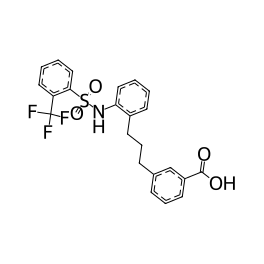 O=C(O)c1cccc(CCCc2ccccc2NS(=O)(=O)c2ccccc2C(F)(F)F)c1